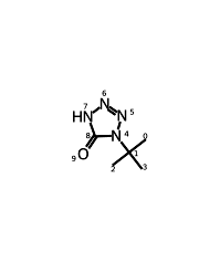 CC(C)(C)n1nn[nH]c1=O